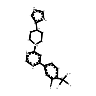 Fc1cc(-c2cc(N3CCC(c4c[nH]cn4)CC3)ncn2)ccc1C(F)(F)F